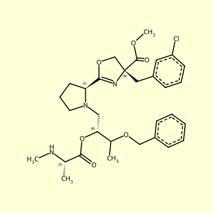 CN[C@@H](C)C(=O)O[C@H](CN1CCC[C@H]1C1=N[C@@](Cc2cccc(Cl)c2)(C(=O)OC)CO1)C(C)OCc1ccccc1